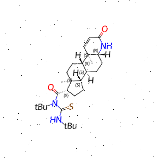 CC(C)(C)NC(=S)N(C(=O)[C@H]1CC[C@H]2[C@@H]3CC[C@H]4NC(=O)C=C[C@]4(C)[C@H]3CC[C@]12C)C(C)(C)C